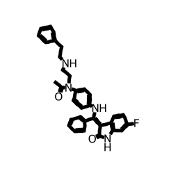 CC(=O)N(CCNCCc1ccccc1)c1ccc(NC(=C2C(=O)Nc3cc(F)ccc32)c2ccccc2)cc1